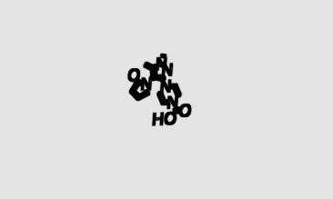 Cc1c(N2CCCC2=O)c(N2CCN(C(=O)O)CC2)nn1C